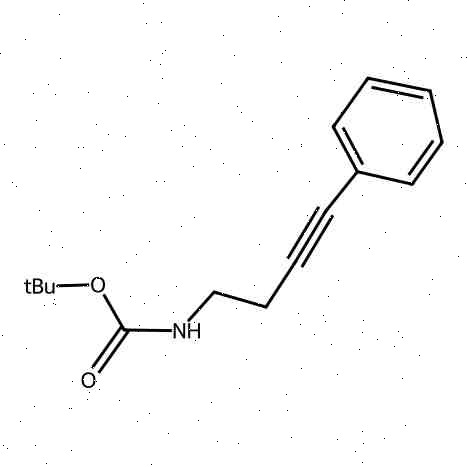 CC(C)(C)OC(=O)NCCC#Cc1ccccc1